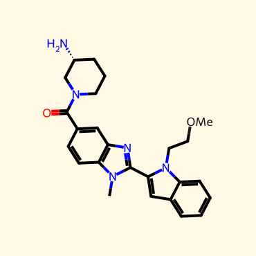 COCCn1c(-c2nc3cc(C(=O)N4CCC[C@@H](N)C4)ccc3n2C)cc2ccccc21